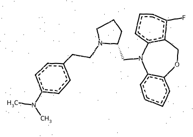 CN(C)c1ccc(CCN2CCC[C@@H]2CN2c3ccccc3OCc3c(F)cccc32)cc1